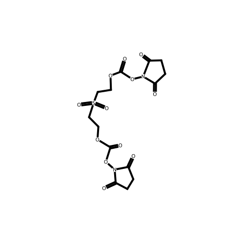 O=C(OCCS(=O)(=O)CCOC(=O)ON1C(=O)CCC1=O)ON1C(=O)CCC1=O